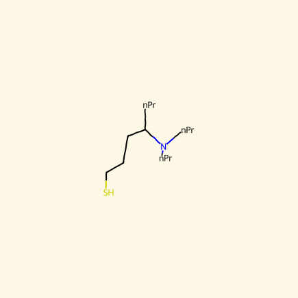 CCCC(CCCS)N(CCC)CCC